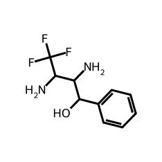 NC(C(O)c1ccccc1)C(N)C(F)(F)F